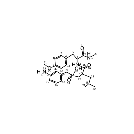 CNC(=O)C(Cc1ccc(OC)cc1)NC(=O)C(CC(C)C)CP(=O)(O)Cc1cccc(N)c1